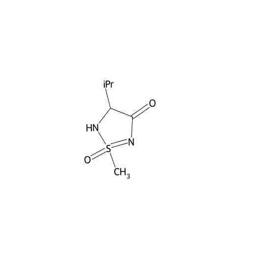 CC(C)C1NS(C)(=O)=NC1=O